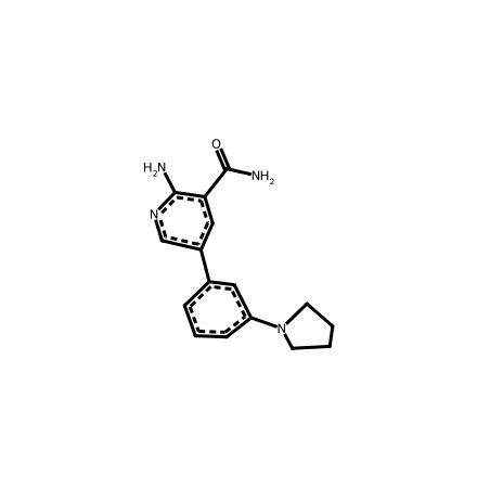 NC(=O)c1cc(-c2cccc(N3CCCC3)c2)cnc1N